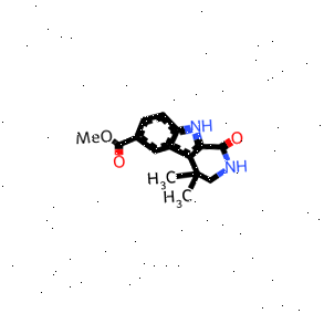 COC(=O)c1ccc2[nH]c3c(c2c1)C(C)(C)CNC3=O